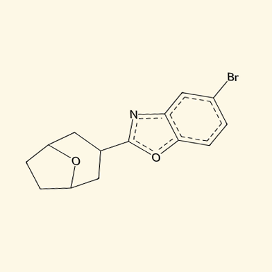 Brc1ccc2oc(C3CC4CCC(C3)O4)nc2c1